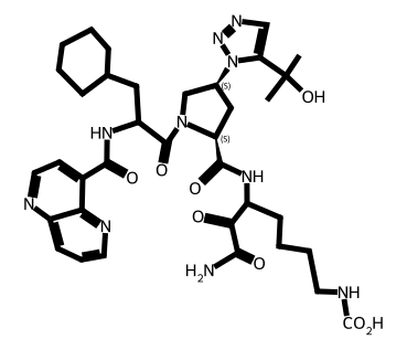 CC(C)(O)c1cnnn1[C@H]1C[C@@H](C(=O)NC(CCCCNC(=O)O)C(=O)C(N)=O)N(C(=O)C(CC2CCCCC2)NC(=O)c2ccnc3cccnc23)C1